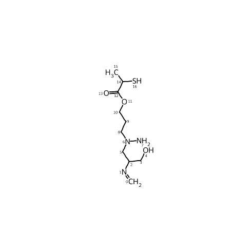 C=NC(CO)CN(N)CCCOC(=O)C(C)S